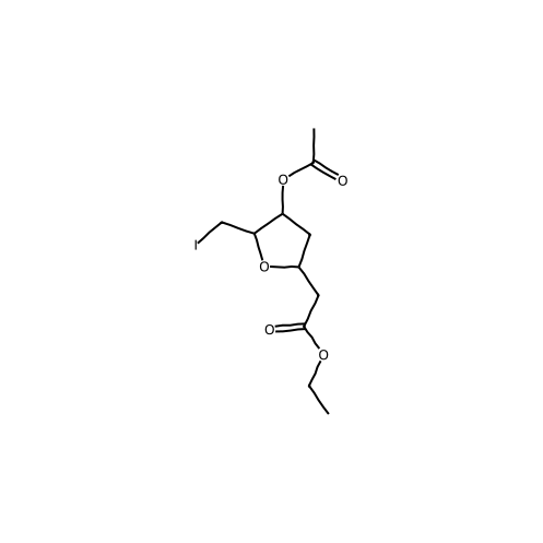 CCOC(=O)CC1CC(OC(C)=O)C(CI)O1